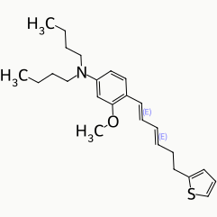 CCCCN(CCCC)c1ccc(/C=C/C=C/CCc2cccs2)c(OC)c1